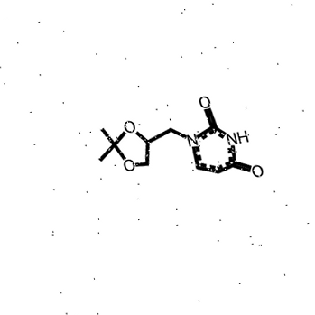 CC1(C)OCC(Cn2ccc(=O)[nH]c2=O)O1